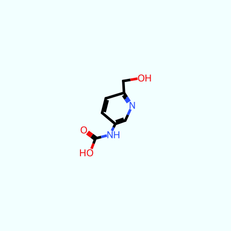 O=C(O)Nc1ccc(CO)nc1